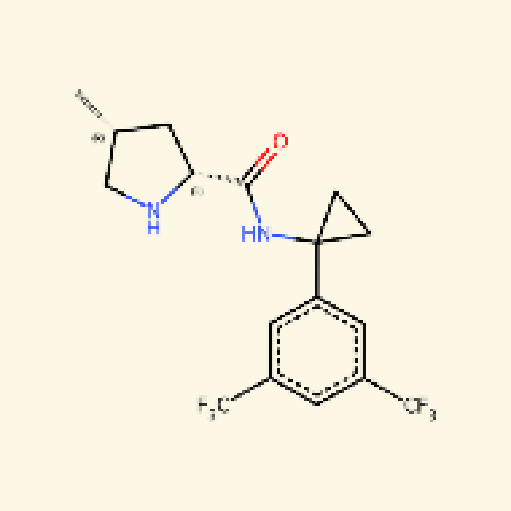 C[C@H]1CN[C@@H](C(=O)NC2(c3cc(C(F)(F)F)cc(C(F)(F)F)c3)CC2)C1